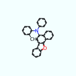 Cc1ccccc1N(c1ccccc1)c1cc2c3ccccc3oc2c2ccccc12